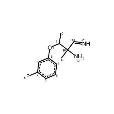 CC(Oc1cccc(F)c1)C(C)(N)C=N